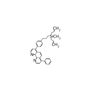 C=CC[Si](C)(CC=C)CCCc1ccc(-c2ccnc3c2ccc2c(-c4ccccc4)ccnc23)cc1